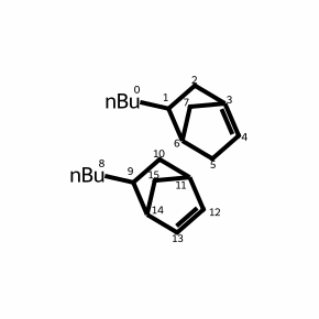 CCCCC1CC2=CCC1C2.CCCCC1CC2C=CC1C2